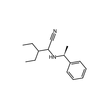 CCC(CC)C(C#N)N[C@@H](C)c1ccccc1